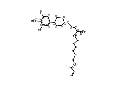 C=CC(=O)OCCCCCCOC(CCC)CCCC1CCC(c2cc(F)c(CCC)c(F)c2)CC1